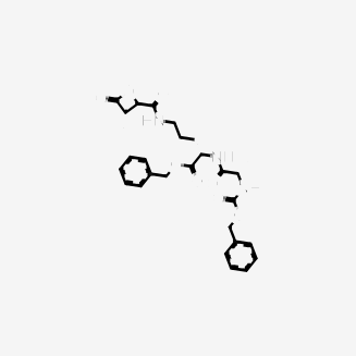 C[C@H](NC(=O)OCc1ccccc1)C(=O)N[C@@H](CCCNC(=O)C1OC(=O)[C@H]1C)C(=O)OCc1ccccc1